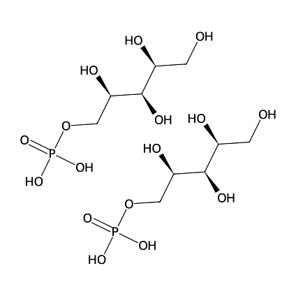 O=P(O)(O)OC[C@@H](O)[C@H](O)[C@@H](O)CO.O=P(O)(O)OC[C@@H](O)[C@H](O)[C@@H](O)CO